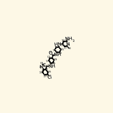 Cc1cc(Nc2ccc(NC(=O)c3ccc(Nc4ccnc5ccc(Cl)cc45)cc3)cc2)cc(N)n1